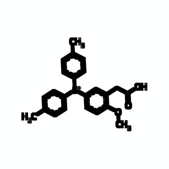 COc1ccc([S+](c2ccc(C)cc2)c2ccc(C)cc2)cc1CC(=O)O